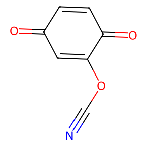 N#COC1=CC(=O)C=CC1=O